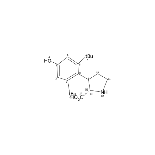 CC(C)(C)c1cc(O)cc(C(C)(C)C)c1C1CCN[C@@H]1C(=O)O